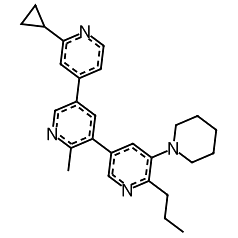 CCCc1ncc(-c2cc(-c3ccnc(C4CC4)c3)cnc2C)cc1N1CCCCC1